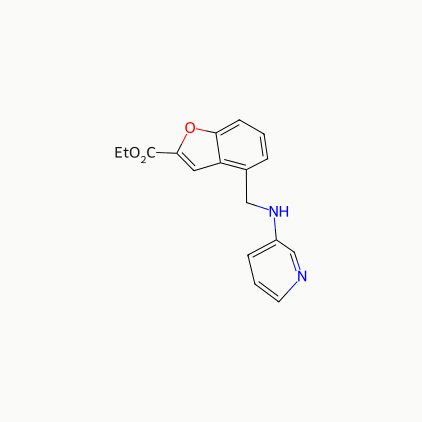 CCOC(=O)c1cc2c(CNc3cccnc3)cccc2o1